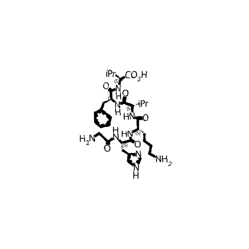 CC(C)[C@H](NC(=O)[C@H](Cc1ccccc1)NC(=O)[C@@H](NC(=O)[C@H](CCCCN)NC(=O)[C@H](Cc1c[nH]cn1)NC(=O)CN)C(C)C)C(=O)O